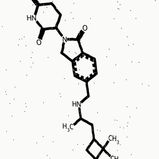 CC(CC1CCC1(C)C)NCc1ccc2c(c1)CN(C1CCC(=O)NC1=O)C2=O